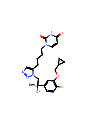 CC[C@@](O)(Cn1nncc1CCCCn1ccc(=O)[nH]c1=O)c1ccc(F)c(OCC2CC2)c1